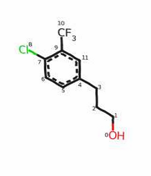 OCCCc1ccc(Cl)c(C(F)(F)F)c1